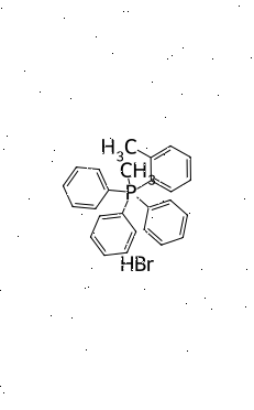 Br.Cc1ccccc1P(C)(c1ccccc1)(c1ccccc1)c1ccccc1